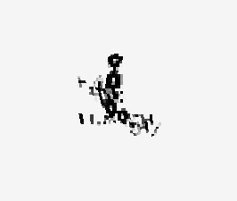 CNc1cc(-c2ccccc2)ccc1C(=O)Nc1ccc(OC)c(C2CCN(C(C)C)CC2)c1